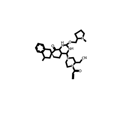 C=CC(=O)N1CCN(C2NC(OCC3CCCN3C)NC3C(=O)[C@@]4(CCC32)Cc2ccccc2C(C)C4)CC1CC#N